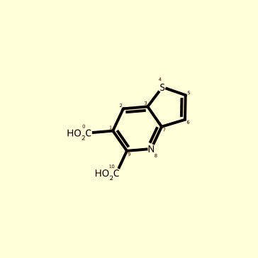 O=C(O)c1cc2sccc2nc1C(=O)O